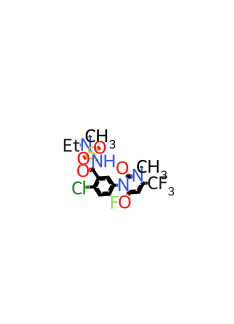 CCN(C)S(=O)(=O)NC(=O)c1cc(-n2c(=O)cc(C(F)(F)F)n(C)c2=O)c(F)cc1Cl